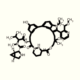 CCn1c(-c2cccnc2[C@H](C)OC)c2c3cc(ccc31)-c1cc(O)cc(c1)C[C@H](NC(=O)C(C(C)C)N(C)C(=O)[C@@H]1NC[C@@H]3C[C@@H]31)C(=O)N1CCC[C@H](N1)C(=O)OCC(C)(C)C2